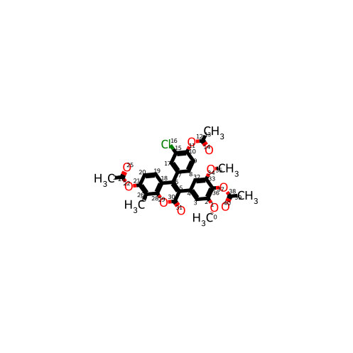 COc1cc(-c2c(-c3ccc(OC(C)=O)c(Cl)c3)c3ccc(OC(C)=O)c(C)c3oc2=O)cc(OC)c1OC(C)=O